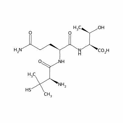 C[C@@H](O)[C@H](NC(=O)[C@H](CCC(N)=O)NC(=O)[C@@H](N)C(C)(C)S)C(=O)O